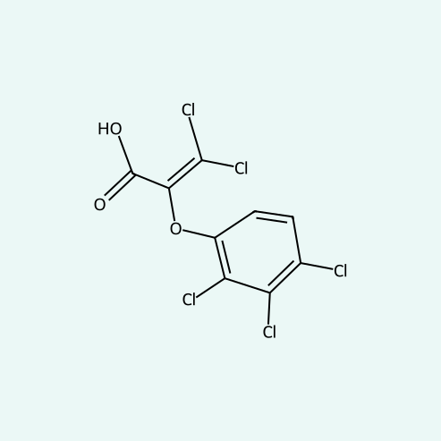 O=C(O)C(Oc1ccc(Cl)c(Cl)c1Cl)=C(Cl)Cl